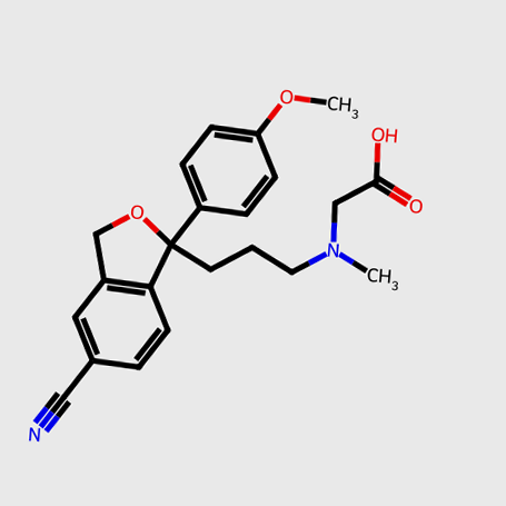 COc1ccc(C2(CCCN(C)CC(=O)O)OCc3cc(C#N)ccc32)cc1